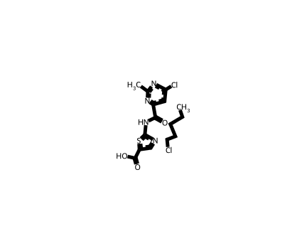 CCCCCCl.Cc1nc(Cl)cc(C(=O)Nc2ncc(C(=O)O)s2)n1